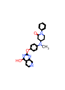 CN(c1ccc(Oc2nc(O)c3ccncc3n2)cc1)C1CCN(C2=C=C=CC=C2)C(=O)C1